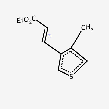 CCOC(=O)/C=C/c1cscc1C